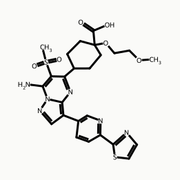 COCCOC1(C(=O)O)CCC(c2nc3c(-c4ccc(-c5nccs5)nc4)cnn3c(N)c2S(C)(=O)=O)CC1